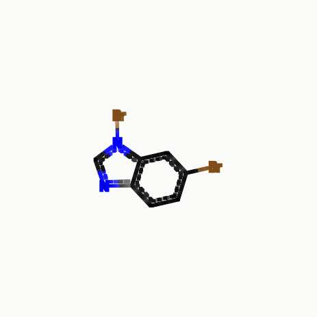 Brc1ccc2ncn(Br)c2c1